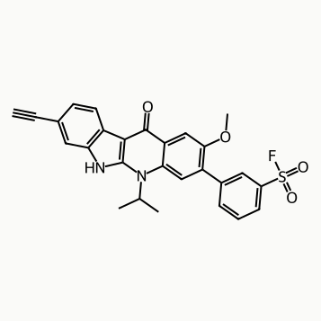 C#Cc1ccc2c(c1)[nH]c1c2c(=O)c2cc(OC)c(-c3cccc(S(=O)(=O)F)c3)cc2n1C(C)C